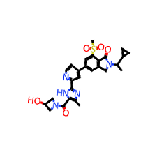 Cc1nc(-c2cc(-c3cc4c(c(S(C)(=O)=O)c3)C(=O)N(C(C)C3CC3)C4)ccn2)[nH]c1C(=O)N1CC(O)C1